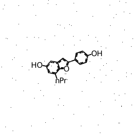 CCCc1cc(O)cc2cc(-c3ccc(O)cc3)oc12